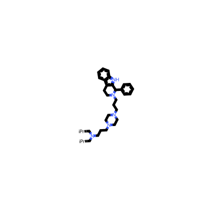 CC(C)CN(CCCN1CCN(CCCN2CCc3c([nH]c4ccccc34)C2c2ccccc2)CC1)CC(C)C